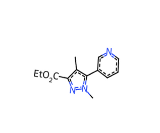 CCOC(=O)c1nn(C)c(-c2cccnc2)c1C